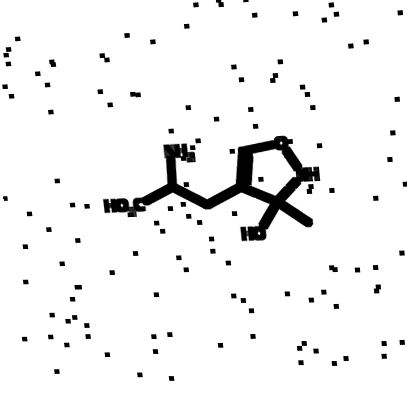 CC1(O)NOC=C1CC(N)C(=O)O